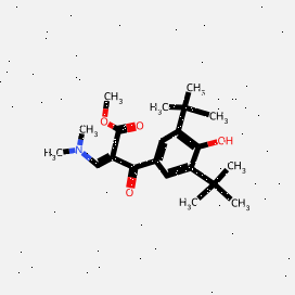 COC(=O)C(=CN(C)C)C(=O)c1cc(C(C)(C)C)c(O)c(C(C)(C)C)c1